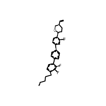 C=CC1CCC(c2ccc(-c3ccc(-c4ccc(CCCCC)c(F)c4F)cc3)cc2F)OC1